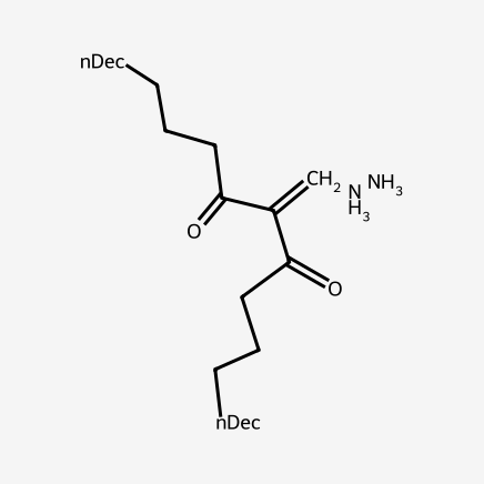 C=C(C(=O)CCCCCCCCCCCCC)C(=O)CCCCCCCCCCCCC.N.N